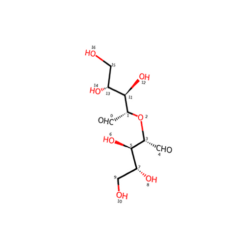 O=C[C@@H](O[C@H](C=O)[C@H](O)[C@H](O)CO)[C@H](O)[C@H](O)CO